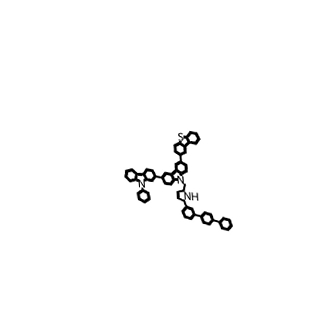 C1=CC(c2cccc(-c3ccc(-c4ccccc4)cc3)c2)NC1Cn1c2ccc(-c3ccc4sc5ccccc5c4c3)cc2c2cc(-c3ccc4c5ccccc5n(-c5ccccc5)c4c3)ccc21